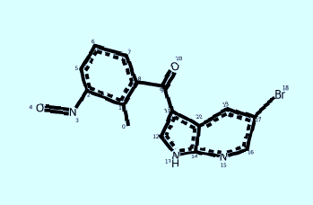 Cc1c(N=O)cccc1C(=O)c1c[nH]c2ncc(Br)cc12